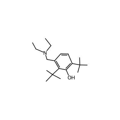 CCN(CC)Cc1ccc(C(C)(C)C)c(O)c1C(C)(C)C